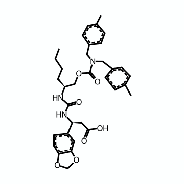 CCCC[C@@H](COC(=O)N(Cc1ccc(C)cc1)Cc1ccc(C)cc1)NC(=O)N[C@@H](CC(=O)O)c1ccc2c(c1)OCO2